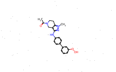 CC(=O)N1CCc2c(c(Nc3ccc(-c4cccc(OO)c4)cc3)nn2C)C1